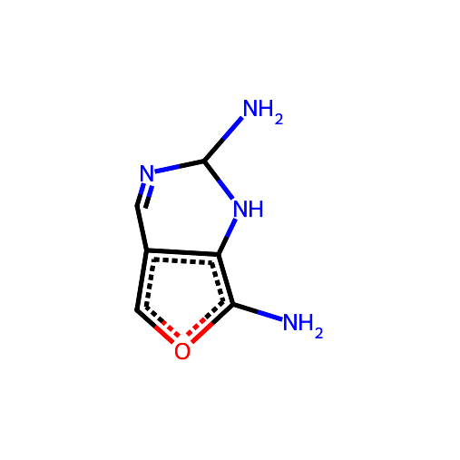 Nc1occ2c1NC(N)N=C2